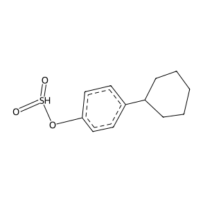 O=[SH](=O)Oc1ccc(C2CCCCC2)cc1